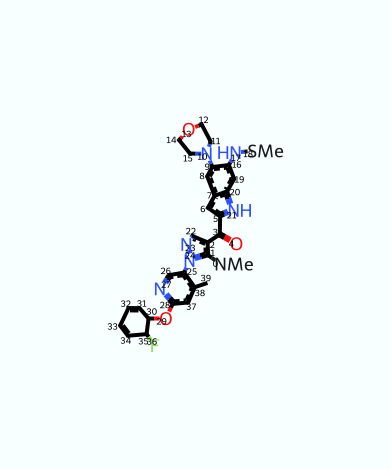 CNc1c(C(=O)c2cc3cc(N4CCOCC4)c(NSC)cc3[nH]2)cnn1-c1cnc(OC2C=CC=CC2F)cc1C